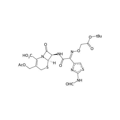 CC(=O)OCC1=C(C(=O)O)N2C(=O)[C@@H](NC(=O)C(=NOCC(=O)OC(C)(C)C)c3csc(NC=O)n3)[C@H]2SC1